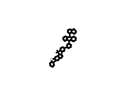 CC1(C)c2ccc(-c3cccc(-c4c5ccccc5c(-c5cccc6ccccc56)c5ccccc45)c3)cc2-c2ccc3cc4c(cc3c21)oc1ccccc14